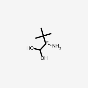 CC(C)(C)[C@H](N)C(O)O